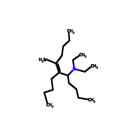 CCCC[C]([SnH3])=C(CCCC)C(CCCC)N(CC)CC